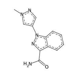 Cn1cc(-n2nc(C(N)=O)c3ccccc32)cn1